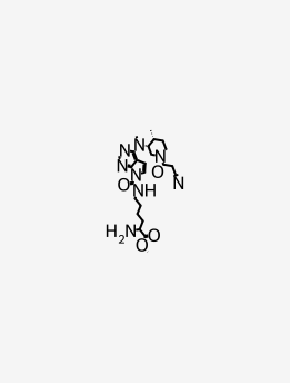 COC(=O)C(N)CCCCNC(=O)n1ccc2c(N(C)[C@H]3CN(C(=O)CC#N)CC[C@H]3C)ncnc21